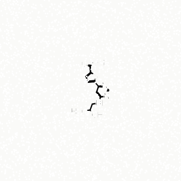 CC(C)CNc1cc(-c2ccc(C(=O)O)s2)ncn1